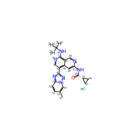 [2H]C([2H])([2H])Nc1ncc(-c2nc3ccc(C)cn3n2)c2cc(NC(=O)[C@@H]3C[C@@H]3F)ncc12